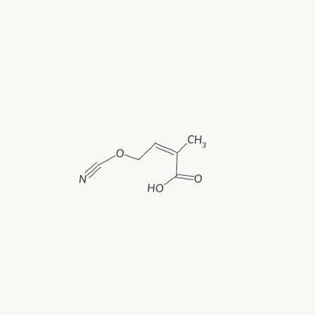 CC(=CCOC#N)C(=O)O